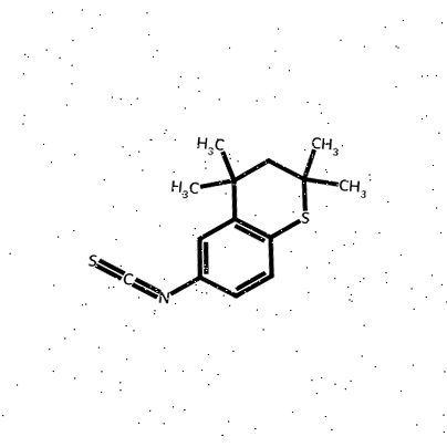 CC1(C)CC(C)(C)c2cc(N=C=S)ccc2S1